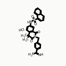 CC1(C)C(=O)N(Cc2ccc(C(=N)N)cc2)C(=O)c2cc(NS(=O)(=O)c3cccc4ccccc34)ccc21.Cl